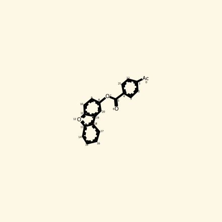 CC(=O)c1ccc(C(=O)Oc2ccc3oc4ccccc4c3c2)cc1